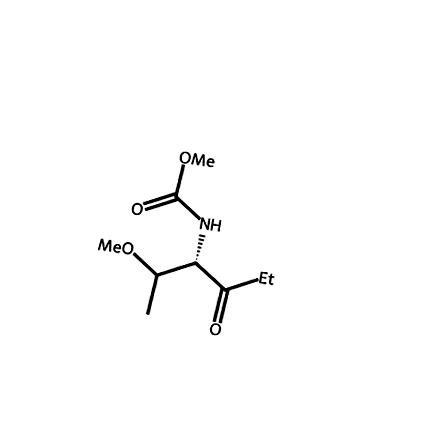 CCC(=O)[C@@H](NC(=O)OC)C(C)OC